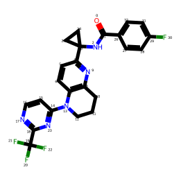 O=C(NC1(c2ccc3c(n2)CCCN3c2ccnc(C(F)(F)F)n2)CC1)c1ccc(F)cc1